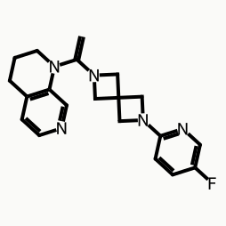 C=C(N1CC2(C1)CN(c1ccc(F)cn1)C2)N1CCCc2ccncc21